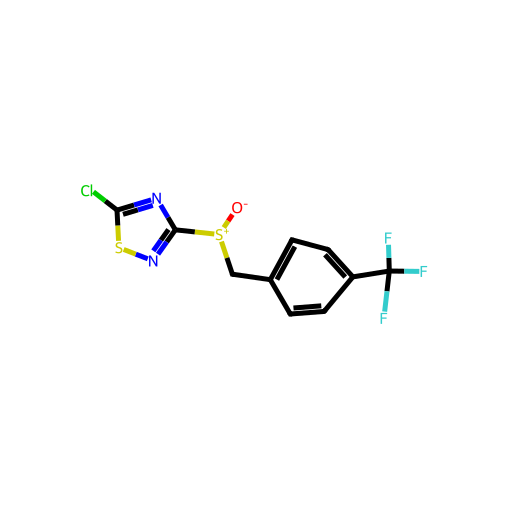 [O-][S+](Cc1ccc(C(F)(F)F)cc1)c1nsc(Cl)n1